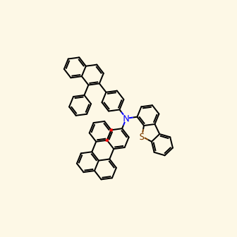 c1ccc(-c2c(-c3ccc(N(c4ccc(-c5cccc6cccc(-c7ccccc7)c56)cc4)c4cccc5c4sc4ccccc45)cc3)ccc3ccccc23)cc1